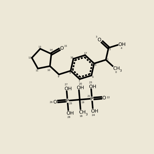 CC(C(=O)O)c1ccc(CC2CCCC2=O)cc1.CC(O)(P(=O)(O)O)P(=O)(O)O